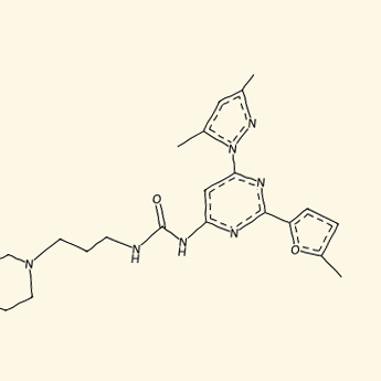 Cc1cc(C)n(-c2cc(NC(=O)NCCCN3CCOCC3)nc(-c3ccc(C)o3)n2)n1